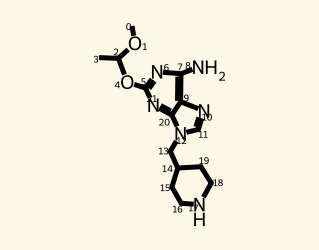 COC(C)Oc1nc(N)c2ncn(CC3CCNCC3)c2n1